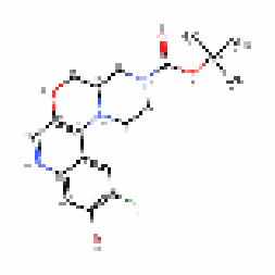 CC(C)(C)OC(=O)N1CCN2c3c(cnc4cc(Br)c(Cl)cc34)OCC2C1